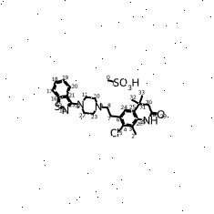 CS(=O)(=O)O.Cc1c(Cl)c(CCN2CCN(c3nsc4ccccc34)CC2)cc2c1NC(=O)CC2(C)C